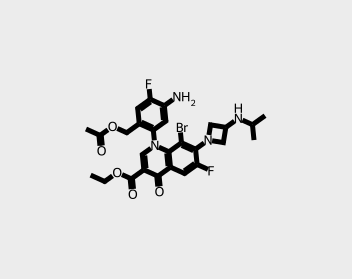 CCOC(=O)c1cn(-c2cc(N)c(F)cc2COC(C)=O)c2c(Br)c(N3CC(NC(C)C)C3)c(F)cc2c1=O